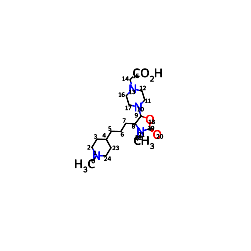 CN1CCC(CCCC2C(N3CCN(CC(=O)O)CC3)OC(=O)N2C)CC1